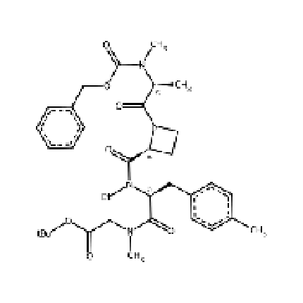 CCN(C(=O)[C@@H]1CCN1C(=O)[C@H](C)N(C)C(=O)OCc1ccccc1)[C@@H](Cc1ccc(C)cc1)C(=O)N(C)CC(=O)OC(C)(C)C